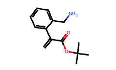 C=C(C(=O)OC(C)(C)C)c1ccccc1CN